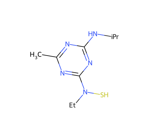 CCN(S)c1nc(C)nc(NC(C)C)n1